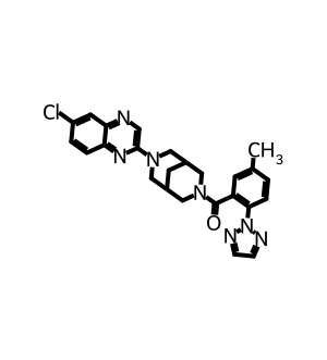 Cc1ccc(-n2nccn2)c(C(=O)N2CC3CC(C2)CN(c2cnc4cc(Cl)ccc4n2)C3)c1